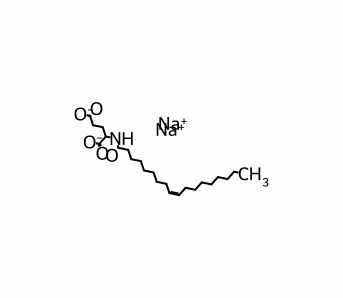 CCCCCCCC/C=C\CCCCCCCC(=O)NC(CCC(=O)[O-])C(=O)[O-].[Na+].[Na+]